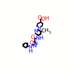 Cc1cc(NC(=O)c2nnc(Nc3ccccc3)o2)cnc1N1CCC(C(=O)O)CC1